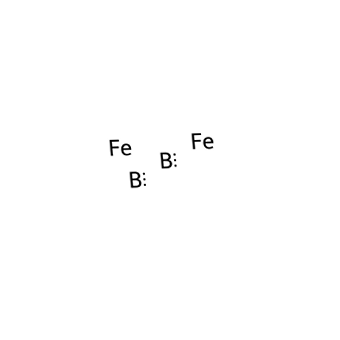 [B].[B].[Fe].[Fe]